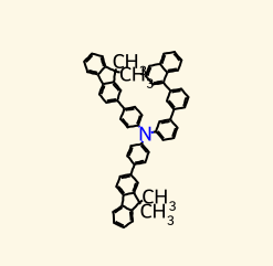 CC1(C)c2ccccc2-c2ccc(-c3ccc(N(c4ccc(-c5ccc6c(c5)C(C)(C)c5ccccc5-6)cc4)c4cccc(-c5cccc(-c6cccc7ccccc67)c5)c4)cc3)cc21